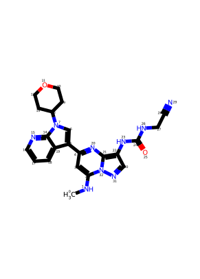 CNc1cc(-c2cn(C3CCOCC3)c3ncccc23)nc2c(NC(=O)NCC#N)cnn12